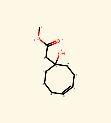 COC(=O)CC1(O)CC/C=C\CCC1